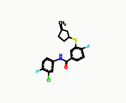 C=C1CCC(Sc2cc(C(=O)Nc3ccc(F)c(Cl)c3)ccc2F)C1